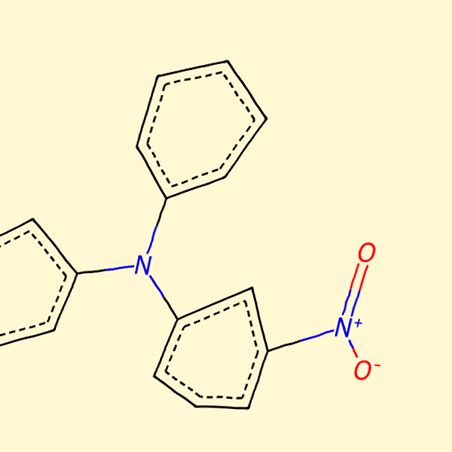 O=[N+]([O-])c1cccc(N(c2ccccc2)c2ccccc2)c1